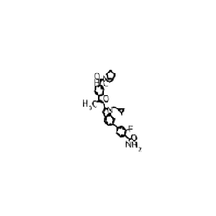 Cc1c(-c2cc3ccc(-c4ccc(C(N)=O)c(F)c4)cc3n2CC2CC2)oc2cc(C(=O)N3CC4CCC3C4C)ccc12